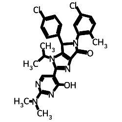 Cc1ccc(Cl)cc1N1C(=O)c2nc(-c3cnc(N(C)C)nc3O)n(C(C)C)c2C1c1ccc(Cl)cc1